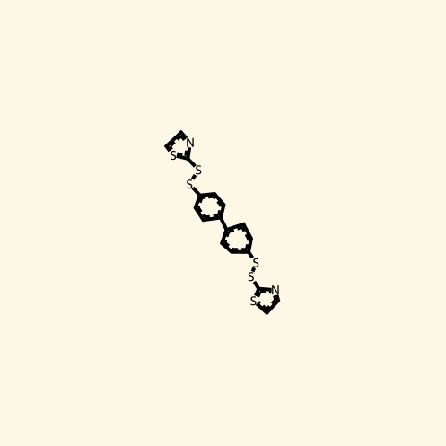 c1csc(SSc2ccc(-c3ccc(SSc4nccs4)cc3)cc2)n1